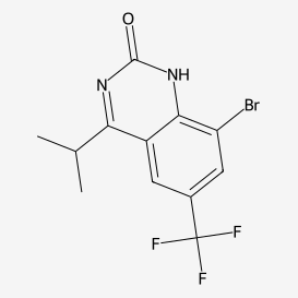 CC(C)c1nc(=O)[nH]c2c(Br)cc(C(F)(F)F)cc12